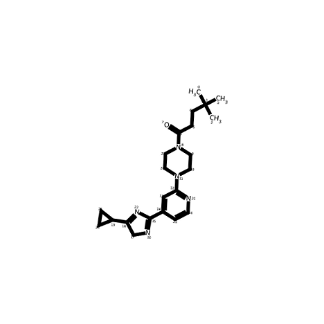 CC(C)(C)CCC(=O)N1CCN(c2cc(C3=NCC(C4CC4)=N3)ccn2)CC1